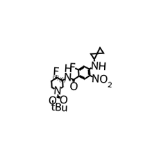 CC(C)(C)OC(=O)N1CC[C@H](F)[C@@H](NC(=O)c2cc([N+](=O)[O-])c(NC3CC34CC4)cc2F)C1